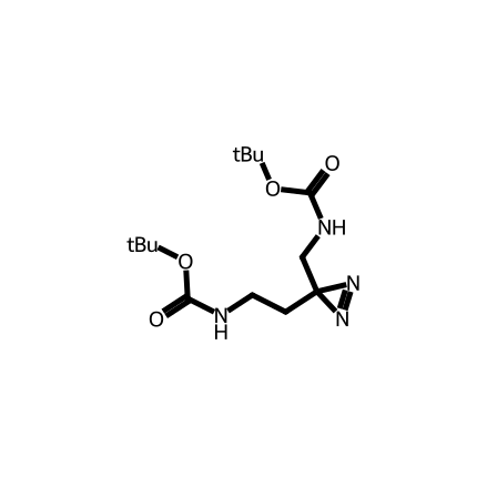 CC(C)(C)OC(=O)NCCC1(CNC(=O)OC(C)(C)C)N=N1